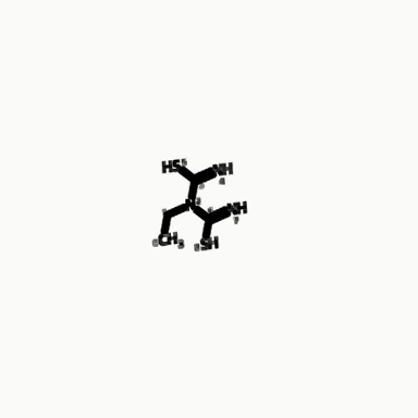 CCN(C(=N)S)C(=N)S